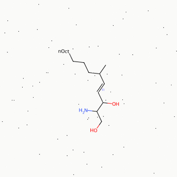 CCCCCCCCCCCC(C)/C=C/C(O)C(N)CO